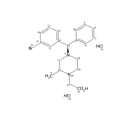 CC1CN([C@H](c2ccccc2)c2cccc(Br)c2)CCN1CC(=O)O.Cl.Cl